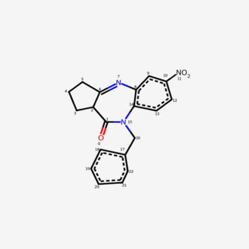 O=C1C2CCCC2=Nc2cc([N+](=O)[O-])ccc2N1Cc1ccccc1